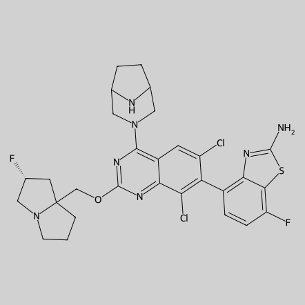 Nc1nc2c(-c3c(Cl)cc4c(N5CC6CCC(C5)N6)nc(OCC56CCCN5C[C@H](F)C6)nc4c3Cl)ccc(F)c2s1